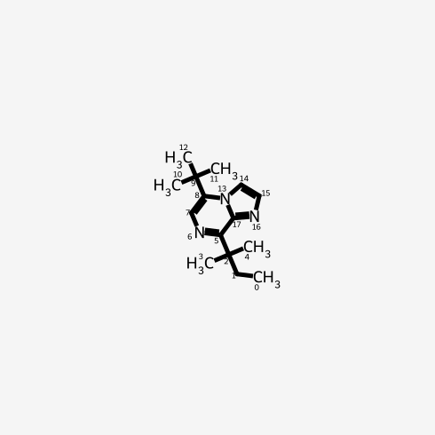 CCC(C)(C)c1ncc(C(C)(C)C)n2ccnc12